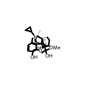 CO[C@]12CC[C@@]3(C[C@@H]1C(C)(C)O)[C@@H](C)N(C1CC1)CC[C@@]31c3c(C)ccc(O)c3O[C@@H]21